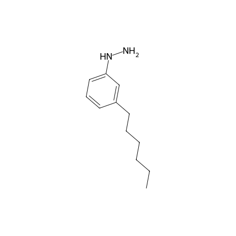 CCCCCCc1cccc(NN)c1